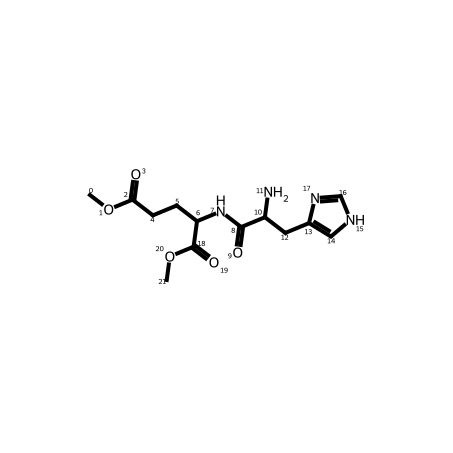 COC(=O)CCC(NC(=O)C(N)Cc1c[nH]cn1)C(=O)OC